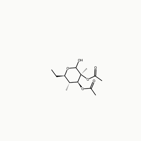 CC[C@H]1OC(O)[C@@](C)(OC(C)=O)[C@@H](OC(C)=O)[C@@H]1C